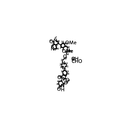 COc1cc(-c2cn(C)c(=O)c3cnccc23)cc(OC)c1CN(C)CCOCCN1CCN(c2ccc3c(c2)C(=O)N(C2CCC(=O)NC2=O)C3=O)CC1.O=CO